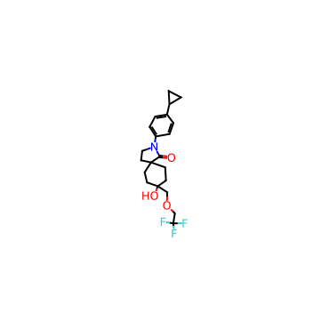 O=C1N(c2ccc(C3CC3)cc2)CCC12CCC(O)(COCC(F)(F)F)CC2